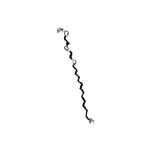 CC(C)CCCCCCCCCCCCCOCCOCCOC(C)C